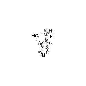 CC(F)(F)c1sc2cncn2c1CO